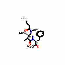 CCCN(C[C@H](OC)C(C)C(=O)N[C@@H](Cc1ccccc1)C(=O)OC)C(=O)CCC[C@@H](C)CC